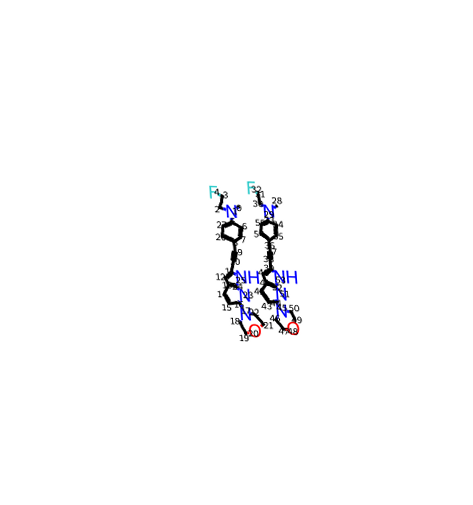 CN(CCF)c1ccc(C#Cc2cc3ccc(N4CCOCC4)nc3[nH]2)cc1.CN(CCF)c1ccc(C#Cc2cc3ccc(N4CCOCC4)nc3[nH]2)cc1